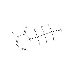 CCCCC=C(C)C(=O)OC(F)(F)C(F)(F)C(F)(F)C(F)(F)F